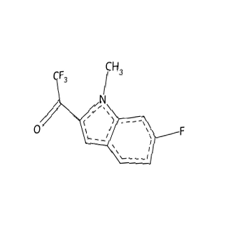 Cn1c(C(=O)C(F)(F)F)cc2ccc(F)cc21